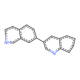 c1ccc2ncc(-c3ccc4ccncc4c3)cc2c1